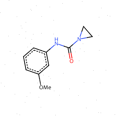 COc1cccc(NC(=O)N2CC2)c1